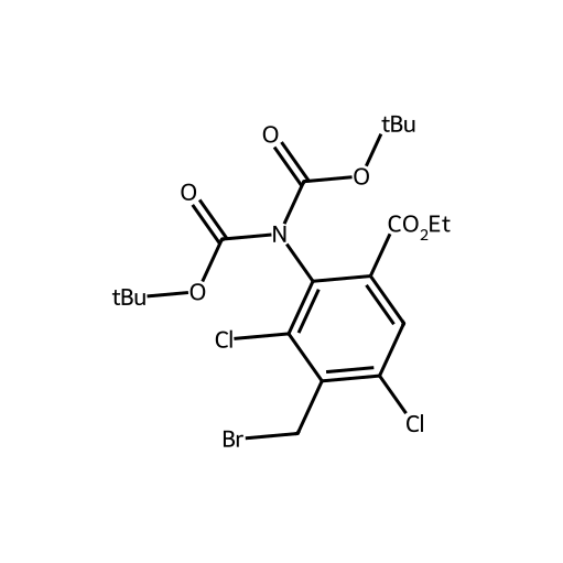 CCOC(=O)c1cc(Cl)c(CBr)c(Cl)c1N(C(=O)OC(C)(C)C)C(=O)OC(C)(C)C